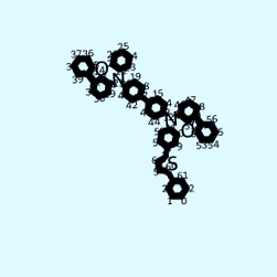 c1ccc(-c2ccc(-c3ccc(N(c4ccc(-c5ccc(N(c6ccccc6)c6cccc7c6oc6ccccc67)cc5)cc4)c4cccc5c4oc4ccccc45)cc3)s2)cc1